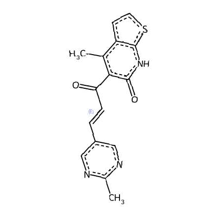 Cc1ncc(/C=C/C(=O)c2c(C)c3ccsc3[nH]c2=O)cn1